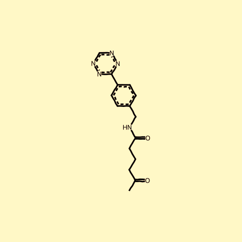 CC(=O)CCCC(=O)NCc1ccc(-c2nncnn2)cc1